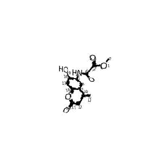 COC(=O)C(=O)Nc1cc2c(C)cc(=O)oc2cc1O